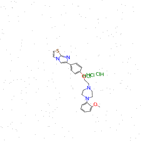 COc1ccccc1N1CCN(CCOc2ccc(-c3cn4ccsc4n3)cc2)CC1.Cl.Cl.Cl